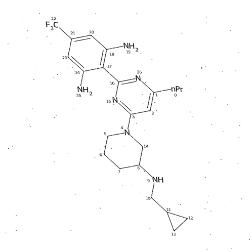 CCCc1cc(N2CCCC(NCC3CC3)C2)nc(-c2c(N)cc(C(F)(F)F)cc2N)n1